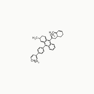 C=C(CC1CCC=CC1=C)c1c2c(c(-c3ccc(C(/C=C\C)=C/C)cc3)c3ccccc13)=CC(C)CC=2